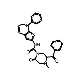 CN1CC(=O)N(C(=O)Nc2cc3c(s2)N(c2ccccc2)CC=C3)CC1C(=O)c1ccccc1